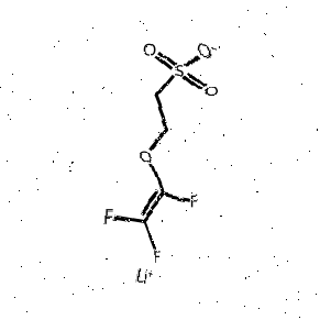 O=S(=O)([O-])CCOC(F)=C(F)F.[Li+]